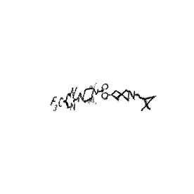 C[C@@H]1CN(c2ncc(C(F)(F)F)cn2)C[C@H](C)N1C(=O)OC1CC2(C1)CN(CC1CC1(C)C)C2